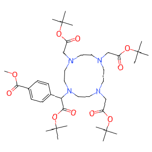 COC(=O)c1ccc(C(C(=O)OC(C)(C)C)N2CCN(CC(=O)OC(C)(C)C)CCN(CC(=O)OC(C)(C)C)CCN(CC(=O)OC(C)(C)C)CC2)cc1